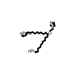 CCC/C=C\CCCCCCCCC(CCCCCCCC/C=C\C/C=C\CCCCC)OCCn1ccnc1